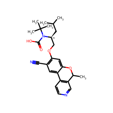 CC(C)C[C@@H](COc1cc2c(cc1C#N)-c1ccncc1C(C)O2)N(C(=O)O)C(C)(C)C